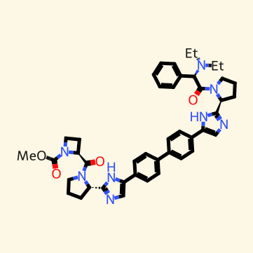 CCN(CC)[C@@H](C(=O)N1CCC[C@H]1c1ncc(-c2ccc(-c3ccc(-c4cnc([C@@H]5CCCN5C(=O)[C@@H]5CCN5C(=O)OC)[nH]4)cc3)cc2)[nH]1)c1ccccc1